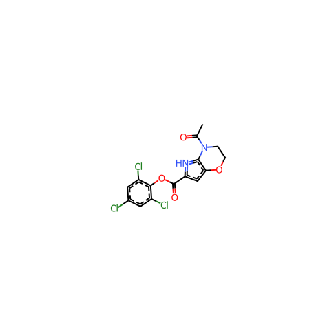 CC(=O)N1CCOc2cc(C(=O)Oc3c(Cl)cc(Cl)cc3Cl)[nH]c21